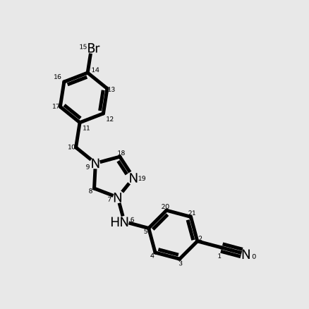 N#Cc1ccc(NN2CN(Cc3ccc(Br)cc3)C=N2)cc1